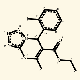 CCOC(=O)C1=C(C)Nc2nnnn2C1c1ccccc1I